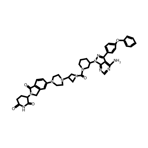 Nc1ncnc2c1c(-c1ccc(Oc3ccccc3)cc1)nn2C1CCCN(C(=O)N2CC(N3CCN(c4ccc5c(c4)CN(C4CCC(=O)NC4=O)C5=O)CC3)C2)C1